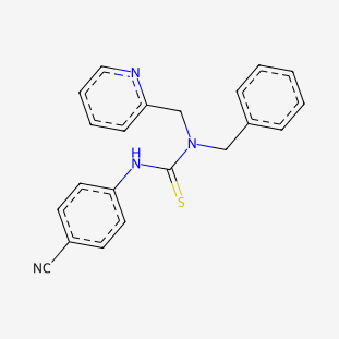 N#Cc1ccc(NC(=S)N(Cc2ccccc2)Cc2ccccn2)cc1